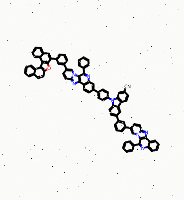 N#Cc1ccc2c3cc(-c4cccc(-c5ccc6nc7c8ccccc8nc(-c8ccccc8)c7n6c5)c4)ccc3n(-c3ccc(-c4ccc5c(c4)nc(-c4ccccc4)c4c5nc5ccc(-c6cccc(-c7cc8ccccc8c8c7oc7ccc9ccccc9c78)c6)cn54)cc3)c2c1